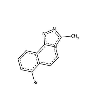 Cc1nnc2c3cccc(Br)c3ccn12